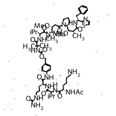 CC[C@H](C)[C@@H]([C@@H](CC(=O)N1CCC[C@H]1[C@H](OC)[C@@H](C)C(=O)N[C@@H](Cc1ccccc1)c1nccs1)OC)N(C)C(=O)[C@@H](NC(=O)C(C)(C)NC(=O)OCc1ccc(NC(=O)[C@H](CCCNC(N)=O)NC(=O)[C@@H](NC(=O)[C@H](CCCCN)NC(C)=O)C(C)C)cc1)C(C)C